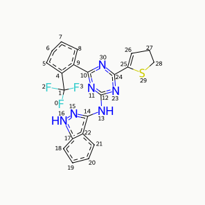 FC(F)(F)c1ccccc1-c1nc(Nc2n[nH]c3ccccc23)nc(C2=CCCS2)n1